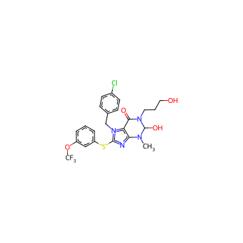 CN1c2nc(Sc3cccc(OC(F)(F)F)c3)n(Cc3ccc(Cl)cc3)c2C(=O)N(CCCO)C1O